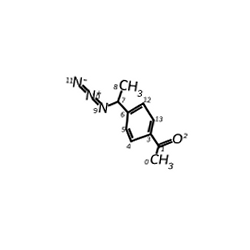 CC(=O)c1ccc(C(C)N=[N+]=[N-])cc1